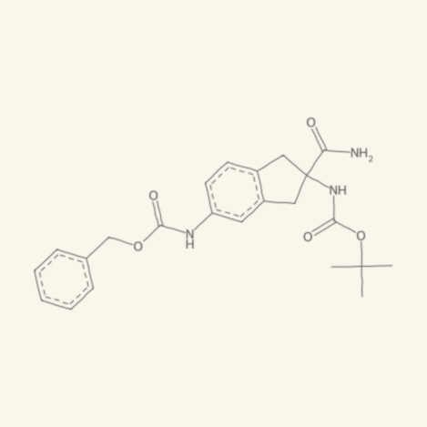 CC(C)(C)OC(=O)NC1(C(N)=O)Cc2ccc(NC(=O)OCc3ccccc3)cc2C1